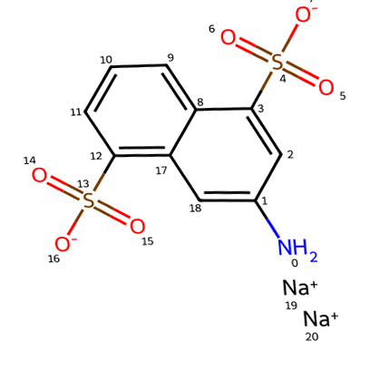 Nc1cc(S(=O)(=O)[O-])c2cccc(S(=O)(=O)[O-])c2c1.[Na+].[Na+]